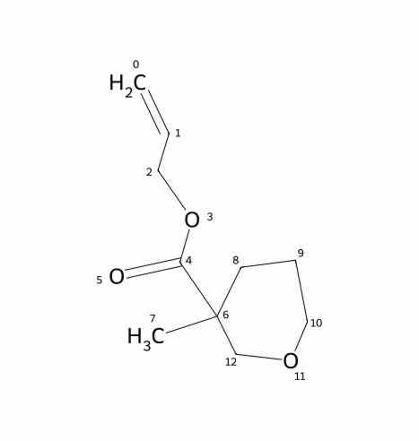 C=CCOC(=O)C1(C)CCCOC1